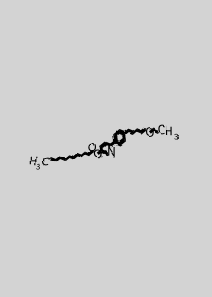 CCCCCCCCCC=CC(=O)Oc1ccc(-c2ccc(CCCCCOCCC)cc2)nc1